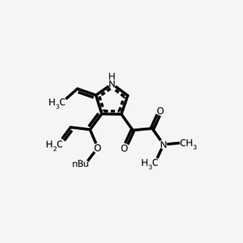 C=C/C(OCCCC)=c1/c(C(=O)C(=O)N(C)C)c[nH]/c1=C/C